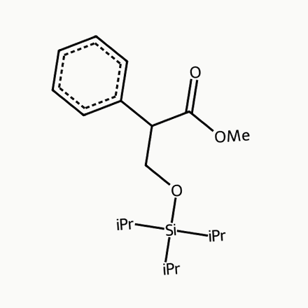 COC(=O)C(CO[Si](C(C)C)(C(C)C)C(C)C)c1ccccc1